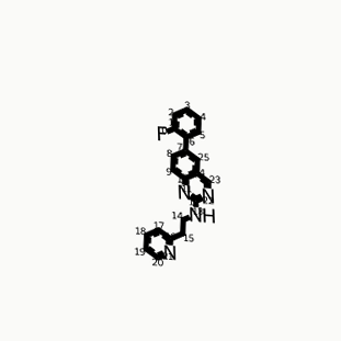 Fc1ccccc1-c1ccc2nc(NCCc3ccccn3)ncc2c1